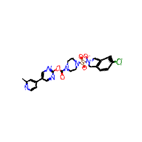 Cc1cc(-c2cnc(OC(=O)N3CCN(S(=O)(=O)[N+]4([O-])Cc5ccc(Cl)cc5C4)CC3)nc2)ccn1